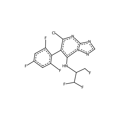 FCC(Nc1c(-c2c(F)cc(F)cc2F)c(Cl)nc2ncnn12)C(F)F